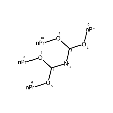 CCCOC([N]C(OCCC)OCCC)OCCC